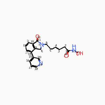 O=C(CCCCCN1Cc2c(cccc2-c2cccnc2)C1=O)NO